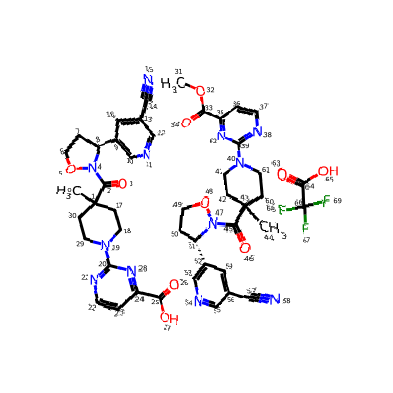 CC1(C(=O)N2OCC[C@H]2c2cncc(C#N)c2)CCN(c2nccc(C(=O)O)n2)CC1.COC(=O)c1ccnc(N2CCC(C)(C(=O)N3OCC[C@H]3c3cncc(C#N)c3)CC2)n1.O=C(O)C(F)(F)F